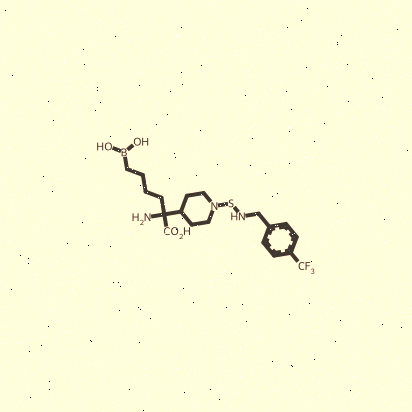 NC(CCCCB(O)O)(C(=O)O)C1CCN(SNCc2ccc(C(F)(F)F)cc2)CC1